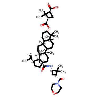 C=C(C)[C@@H]1CC[C@]2(C(=O)N[C@H]3C[C@@H](C(=O)N4CCOCC4)C3(C)C)CC[C@]3(C)[C@H](CC[C@@H]4[C@@]5(C)CC[C@H](OC(=O)[C@@H]6C[C@H](C(=O)O)C6(C)C)C(C)(C)[C@@H]5CC[C@]43C)[C@@H]12